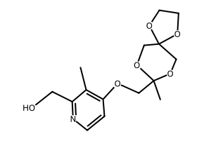 Cc1c(OCC2(C)OCC3(CO2)OCCO3)ccnc1CO